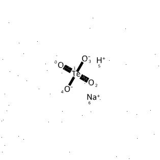 O=[Te](=O)([O-])[O-].[H+].[Na+]